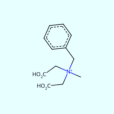 C[N+](CC(=O)O)(CC(=O)O)Cc1ccccc1